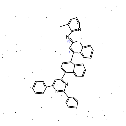 CC(/C=C(\c1ccccc1C)c1ccc(-c2cc(-c3ccccc3)nc(-c3ccccc3)n2)c2ccccc12)=N\c1ncccc1C